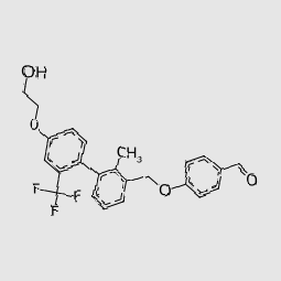 Cc1c(COc2ccc(C=O)cc2)cccc1-c1ccc(OCCO)cc1C(F)(F)F